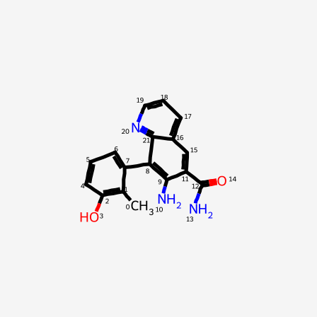 Cc1c(O)cccc1-c1c(N)c(C(N)=O)cc2cccnc12